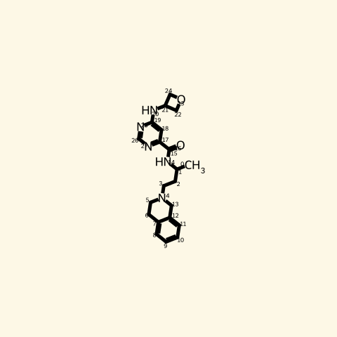 CC(CCN1CCc2ccccc2C1)NC(=O)c1cc(NC2COC2)ncn1